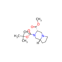 COC(=O)[C@@H]1CN2CCC[C@@H]2CN1C(=O)OC(C)(C)C